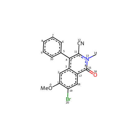 COc1cc2c(-c3ccccc3)c(C#N)n(C)c(=O)c2cc1Br